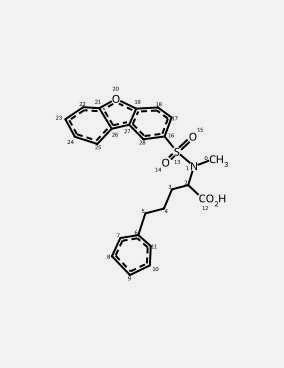 CN(C(CCCc1ccccc1)C(=O)O)S(=O)(=O)c1ccc2oc3ccccc3c2c1